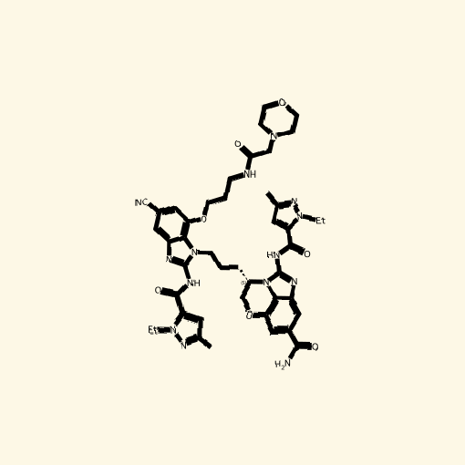 CCn1nc(C)cc1C(=O)Nc1nc2cc(C#N)cc(OCCCNC(=O)CN3CCOCC3)c2n1CCC[C@H]1COc2cc(C(N)=O)cc3nc(NC(=O)c4cc(C)nn4CC)n1c23